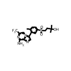 Cc1ccc(S(=O)(=O)CCC(C)(C)O)cc1-c1cnc2c(N)nc(C(F)(F)F)cn12